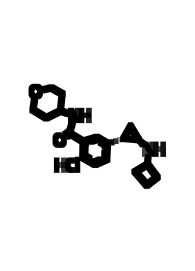 Cl.O=C(NC1CCOCC1)c1cccc([C@@H]2C[C@H]2NC2CCC2)c1